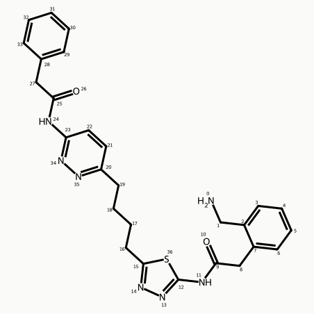 NCc1ccccc1CC(=O)Nc1nnc(CCCCc2ccc(NC(=O)Cc3ccccc3)nn2)s1